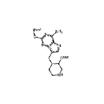 CCC[C@H](C)Oc1nc(N)c2ncc(CC3CCNCC3OC)n2n1